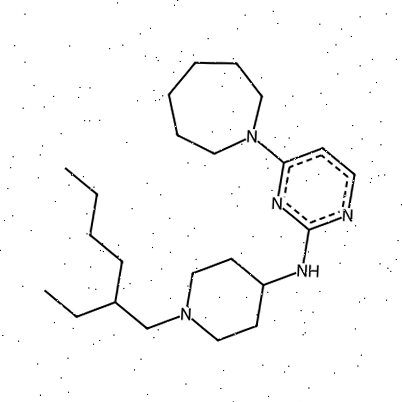 CCCCC(CC)CN1CCC(Nc2nccc(N3CCCCCC3)n2)CC1